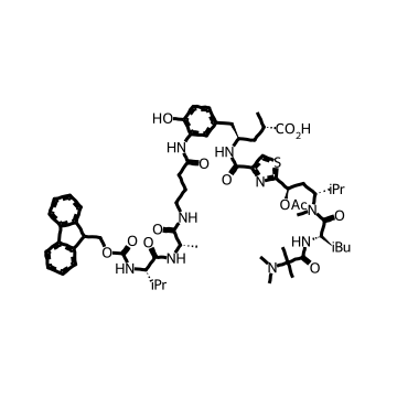 CC[C@H](C)[C@H](NC(=O)C(C)(C)N(C)C)C(=O)N(C)[C@H](C[C@@H](OC(C)=O)c1nc(C(=O)N[C@@H](Cc2ccc(O)c(NC(=O)CCCNC(=O)[C@H](C)NC(=O)[C@@H](NC(=O)OCC3c4ccccc4-c4ccccc43)C(C)C)c2)C[C@H](C)C(=O)O)cs1)C(C)C